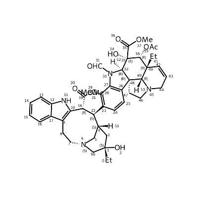 CC[C@]1(O)C[C@@H]2C[N@@](CCc3c([nH]c4ccccc34)[C@H](C(=O)OC)[C@H]2c2ccc3c(c2OC)N(C=O)[C@H]2[C@@](O)(C(=O)OC)[C@H](OC(C)=O)[C@]4(CC)C=CCN5CC[C@]32[C@@H]54)C1